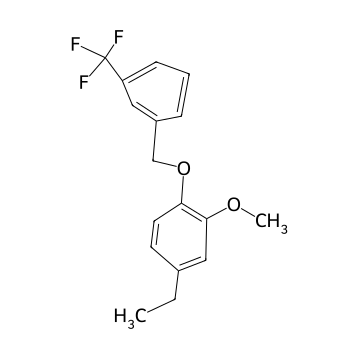 CCc1ccc(OCc2cccc(C(F)(F)F)c2)c(OC)c1